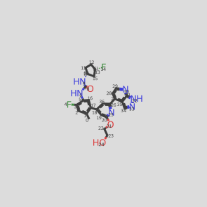 Cc1cc(F)c(NC(=O)N[C@@H]2CC[C@H](F)C2)cc1-c1cc(OCCO)nc(-c2ccnc3[nH]ncc23)c1